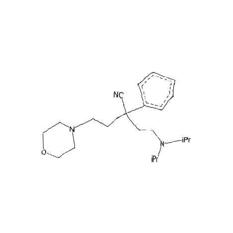 CC(C)N(CCC(C#N)(CCN1CCOCC1)c1ccccc1)C(C)C